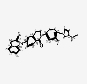 CN(C)[C@@H]1CCN(c2ccc(N3CCc4cc(N5C(=O)Cc6ccccc65)ccc4C3=O)cc2F)C1